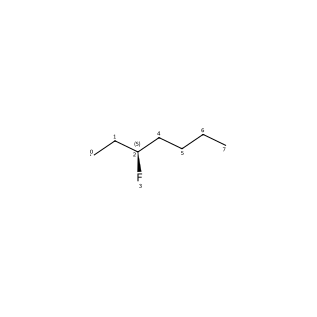 [CH2]C[C@H](F)CCCC